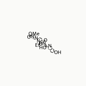 CCOc1nc(N2CCN(C(=O)OC)CC2)ccc1C(=O)NC[C@@H](O)C1Cc2ccc(O)cc2C=N1